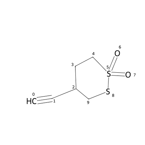 C#CC1CCS(=O)(=O)SC1